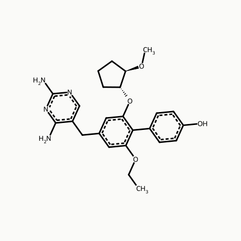 CCOc1cc(Cc2cnc(N)nc2N)cc(O[C@@H]2CCC[C@H]2OC)c1-c1ccc(O)cc1